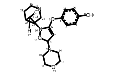 [CH]c1ccc(OC2=CC(N3CCOCC3)ON2[C@H]2CN3CCC2CC3)cc1